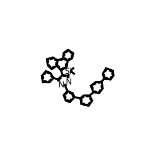 C[Si]1(C)c2nc(-c3cccc(-c4cccc(-c5ccc(-c6ccccc6)cc5)c4)c3)nc(-c3ccccc3)c2-c2c1c1ccccc1c1ccccc21